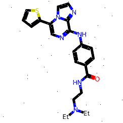 CCN(CC)CCNC(=O)c1ccc(Nc2ncc(-c3cccs3)n3ccnc23)cc1